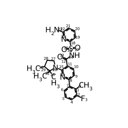 Cc1c(F)cccc1-c1ccc(C(=O)NS(=O)(=O)c2cccc(N)n2)c(N2CCC(C)C2(C)C)n1